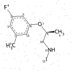 Cc1cc(F)cc(O[C@@H](C)CNI)c1